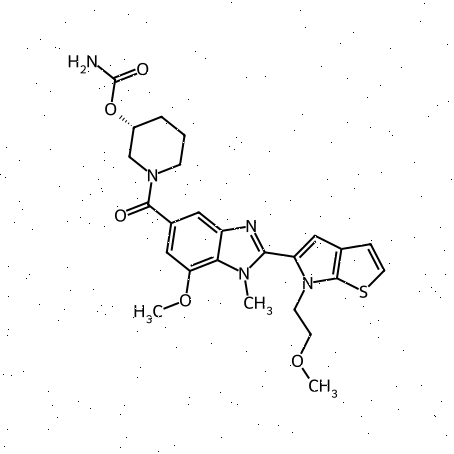 COCCn1c(-c2nc3cc(C(=O)N4CCC[C@@H](OC(N)=O)C4)cc(OC)c3n2C)cc2ccsc21